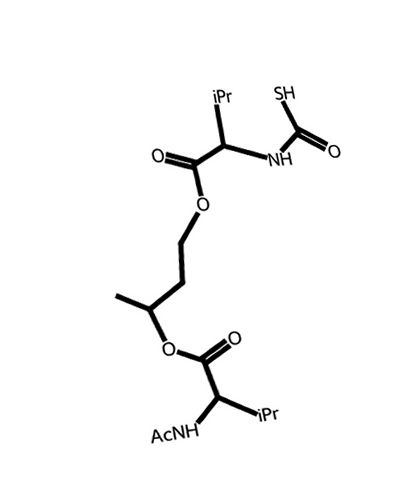 CC(=O)NC(C(=O)OC(C)CCOC(=O)C(NC(=O)S)C(C)C)C(C)C